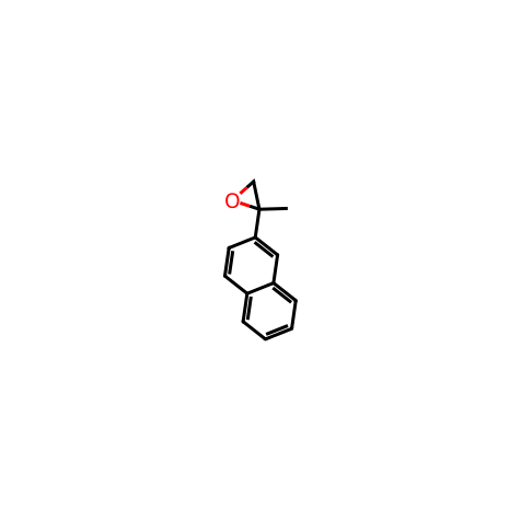 CC1(c2ccc3ccccc3c2)CO1